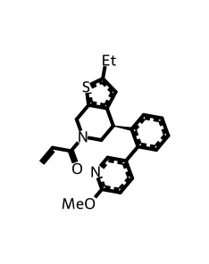 C=CC(=O)N1Cc2sc(CC)cc2[C@@H](c2ccccc2-c2ccc(OC)nc2)C1